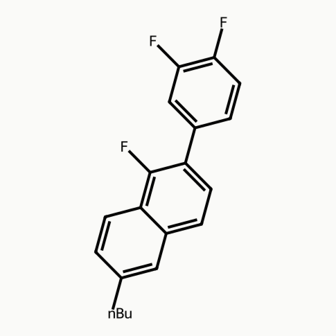 CCCCc1ccc2c(F)c(-c3ccc(F)c(F)c3)ccc2c1